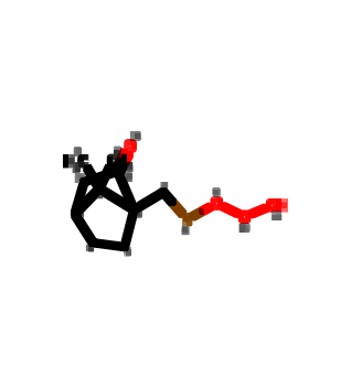 CC1(C)C2CCC1(CSOOO)C(=O)C2